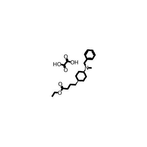 CCOC(=O)CCC[C@H]1CC[C@@H](N(C)Cc2ccccc2)CC1.O=C(O)C(=O)O